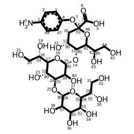 Nc1ccc(O[C@]2(C(=O)O)C[C@@H](O)[C@@H](O[C@H]3OC([C@@H](O)CO)[C@@H](O)[C@H](O[C@H]4O[C@@H]([C@@H](O)CO)[C@@H](O)C(O)C4O)C3O)C([C@H](O)CO)O2)cc1